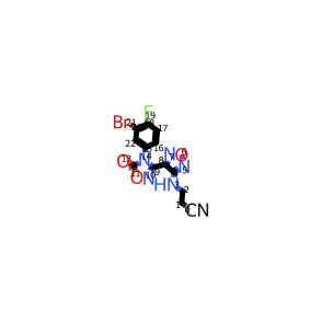 N#CCCNc1nonc1-c1noc(=O)n1-c1ccc(F)c(Br)c1